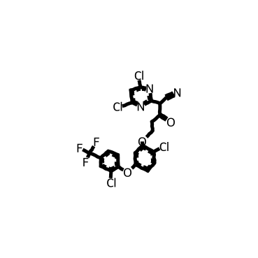 N#CC(C(=O)CCOc1cc(Oc2ccc(C(F)(F)F)cc2Cl)ccc1Cl)c1nc(Cl)cc(Cl)n1